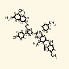 Cc1ccc(Nc2nc(Nc3ccc(C)cc3)c(N=Nc3nc(-c4ccc(Cl)cc4)c(N=Nc4ccc5c(C)cc(C)cc5c4)s3)c(C)c2C#N)cc1